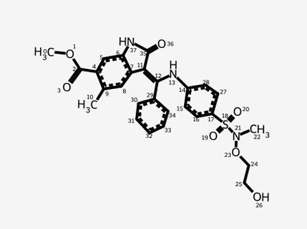 COC(=O)c1cc2c(cc1C)/C(=C(/Nc1ccc(S(=O)(=O)N(C)OCCO)cc1)c1ccccc1)C(=O)N2